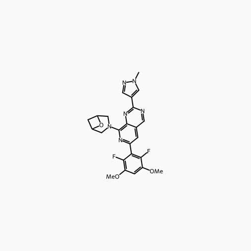 COc1cc(OC)c(F)c(-c2cc3cnc(-c4cnn(C)c4)nc3c(N3CC4CC(C3)O4)n2)c1F